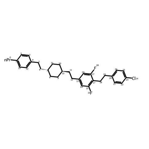 CCCc1ccc(CC[C@H]2CC[C@H](CCc3cc(F)c(CCc4ccc(Cl)cc4)c(F)c3)CC2)cc1